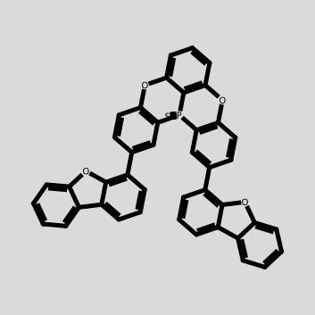 S=P12c3cc(-c4cccc5c4oc4ccccc45)ccc3Oc3cccc(c31)Oc1ccc(-c3cccc4c3oc3ccccc34)cc12